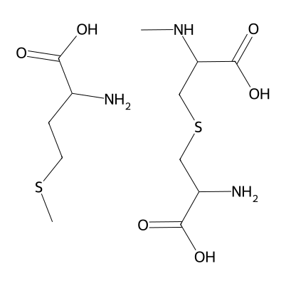 CNC(CSCC(N)C(=O)O)C(=O)O.CSCCC(N)C(=O)O